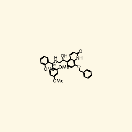 COc1ccc([C@H](NCC(O)c2ccc(OCc3ccccc3)c3[nH]c(=O)ccc23)c2ccccc2OC)c(OC)c1